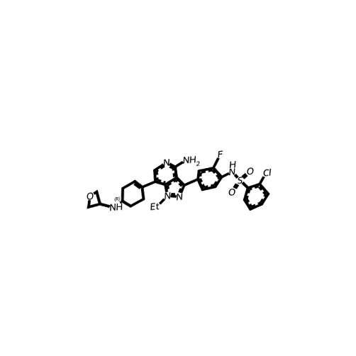 CCn1nc(-c2ccc(NS(=O)(=O)c3ccccc3Cl)c(F)c2)c2c(N)ncc(C3=CC[C@H](NC4COC4)CC3)c21